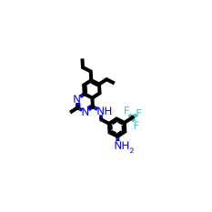 CCCC1=C(CC)CC2C(=C1)N=C(C)N=C2NCc1cc(N)cc(C(F)(F)F)c1